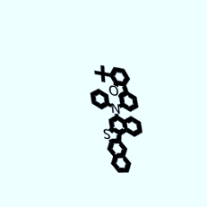 CC(C)(C)c1cccc2c1oc1c(N(c3ccccc3)c3cc4sc5cc6ccccc6cc5c4c4ccccc34)cccc12